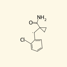 NC(=O)C1([CH]c2ccccc2Cl)CC1